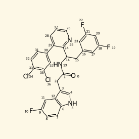 O=C(Cc1c[nH]c2ccc(F)cc12)NC(Cc1cc(F)cc(F)c1)c1ncccc1-c1ccc(Cl)c(Cl)c1